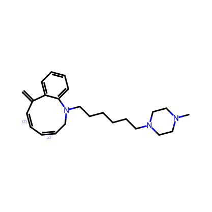 C=C1/C=C\C=C/CN(CCCCCCN2CCN(C)CC2)c2ccccc21